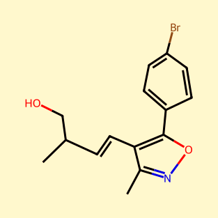 Cc1noc(-c2ccc(Br)cc2)c1C=CC(C)CO